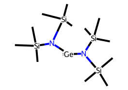 C[Si](C)(C)[N]([Ge][N]([Si](C)(C)C)[Si](C)(C)C)[Si](C)(C)C